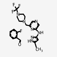 Cc1cc(Nc2cncc(CN3CCN(C(F)(F)F)CC3)n2)n[nH]1.O=Cc1ccccc1F